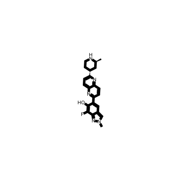 C[C@H]1C[C@H](c2ccc3nc(-c4cc5cn(C)nc5c(F)c4O)ccc3n2)CCN1